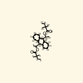 CCC(C)(C)C(=O)OC(C)c1c2ccccc2c(C(C)OC(=O)C(C)(C)CC)c2ccccc12